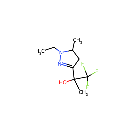 CCN1N=C(C(C)(O)C(F)(F)F)CC1C